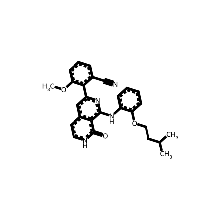 COc1cccc(C#N)c1-c1cc2cc[nH]c(=O)c2c(Nc2ccccc2OCCC(C)C)n1